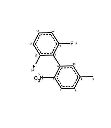 Cc1ccc([N+](=O)[O-])c(-c2c(F)cccc2F)c1